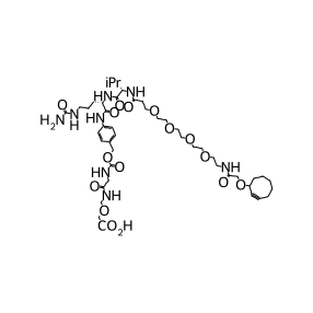 CC(C)[C@H](NC(=O)CCOCCOCCOCCOCCNC(=O)COC1C#CCCCCC1)C(=O)N[C@@H](CCCNC(N)=O)C(=O)Nc1ccc(COC(=O)NCC(=O)NCOCC(=O)O)cc1